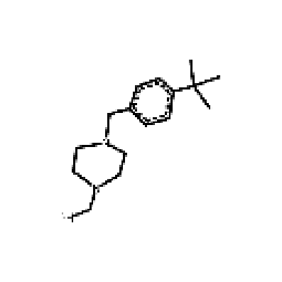 [3H]CN1CCN(Cc2ccc(C(C)(C)C)cc2)CC1